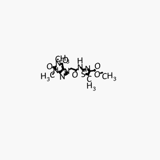 CCOC(=O)c1nc(NC(=O)Cn2cnc3c2c(=O)n(C)c(=O)n3C)sc1C